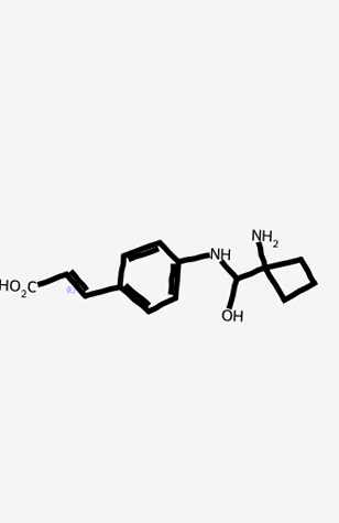 NC1(C(O)Nc2ccc(/C=C/C(=O)O)cc2)CCC1